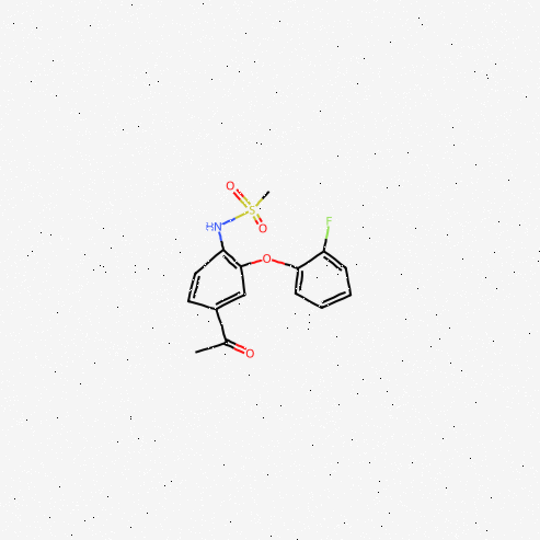 CC(=O)c1ccc(NS(C)(=O)=O)c(Oc2ccccc2F)c1